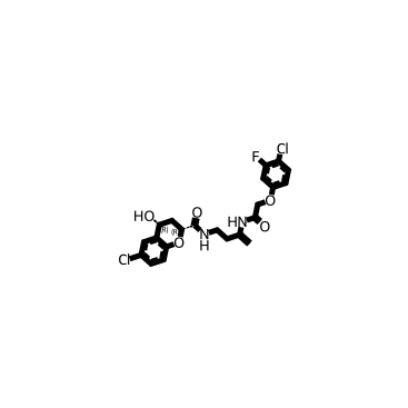 C=C(CCNC(=O)[C@H]1C[C@@H](O)c2cc(Cl)ccc2O1)NC(=O)COc1ccc(Cl)c(F)c1